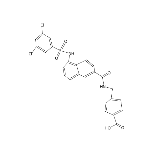 O=C(O)c1ccc(CNC(=O)c2ccc3c(NS(=O)(=O)c4cc(Cl)cc(Cl)c4)cccc3c2)cc1